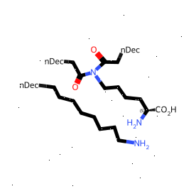 CCCCCCCCCCCC(=O)N(CCCC[C@H](N)C(=O)O)C(=O)CCCCCCCCCCC.CCCCCCCCCCCCCCCCCCN